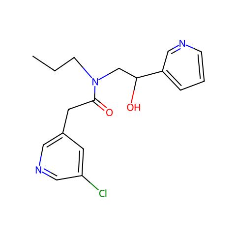 CCCN(CC(O)c1cccnc1)C(=O)Cc1cncc(Cl)c1